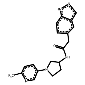 O=C(Cc1ccc2[nH]ncc2c1)NC1CCN(c2ccc(C(F)(F)F)nc2)C1